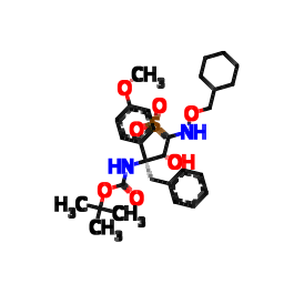 COc1ccc([C@](Cc2ccccc2)(NC(=O)OC(C)(C)C)[C@@H](O)C(NOCC2CCCCC2)=S(=O)=O)cc1